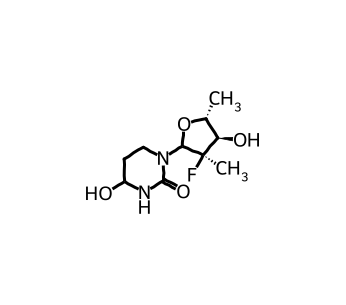 C[C@H]1OC(N2CCC(O)NC2=O)[C@](C)(F)[C@@H]1O